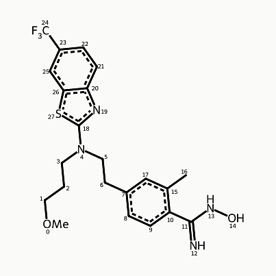 COCCCN(CCc1ccc(C(=N)NO)c(C)c1)c1nc2ccc(C(F)(F)F)cc2s1